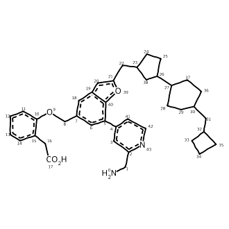 NCc1cc(-c2cc(COc3ccccc3CC(=O)O)cc3cc(CC4CCC(C5CCC(CC6CCC6)CC5)C4)oc23)ccn1